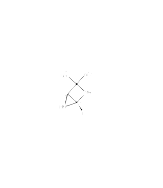 CCCC1(CCC)N[C@@H]2NC21